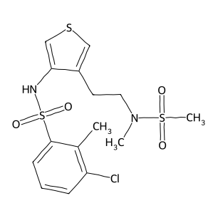 Cc1c(Cl)cccc1S(=O)(=O)Nc1cscc1CCN(C)S(C)(=O)=O